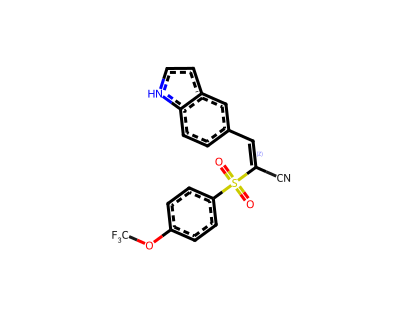 N#C/C(=C/c1ccc2[nH]ccc2c1)S(=O)(=O)c1ccc(OC(F)(F)F)cc1